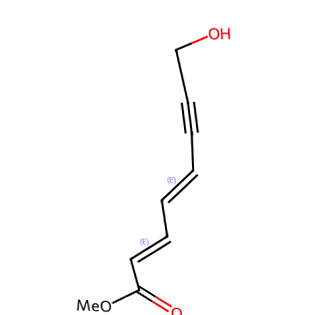 COC(=O)/C=C/C=C/C#CCO